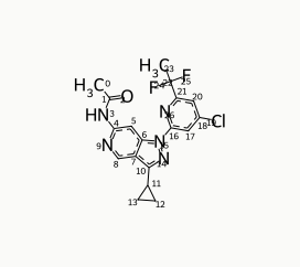 CC(=O)Nc1cc2c(cn1)c(C1CC1)nn2-c1cc(Cl)cc(C(C)(F)F)n1